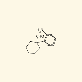 Nc1ccccc1C1(C=O)CCCCC1